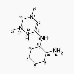 CN1C=C(NC2CCCCC2N)NN(C)C1